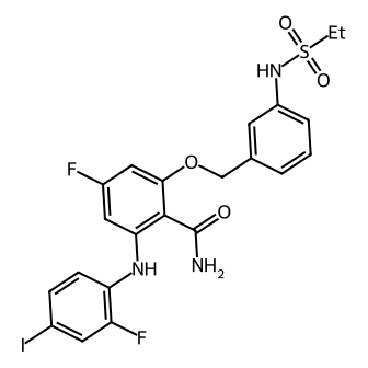 CCS(=O)(=O)Nc1cccc(COc2cc(F)cc(Nc3ccc(I)cc3F)c2C(N)=O)c1